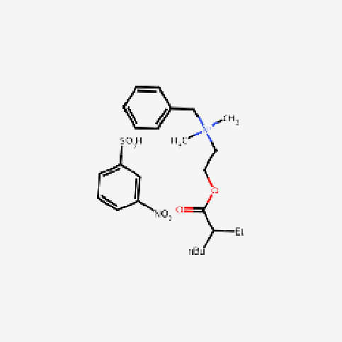 CCCCC(CC)C(=O)OCC[N+](C)(C)Cc1ccccc1.O=[N+]([O-])c1cccc(S(=O)(=O)O)c1